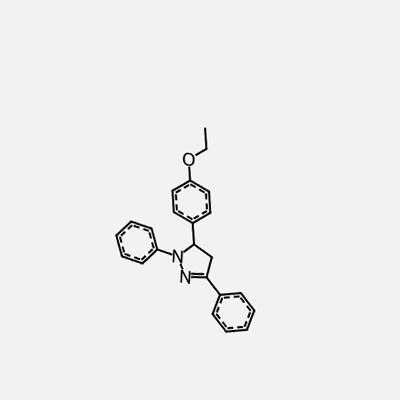 CCOc1ccc(C2CC(c3ccccc3)=NN2c2ccccc2)cc1